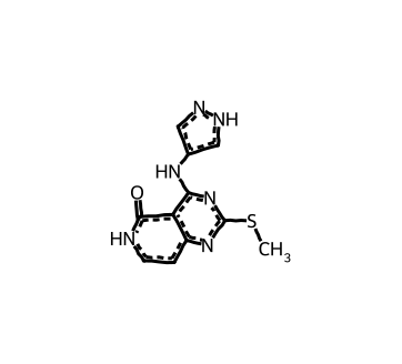 CSc1nc(Nc2cn[nH]c2)c2c(=O)[nH]ccc2n1